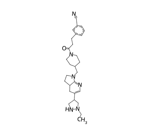 CCN1CC(C2=CN=C3C(CCN3CC3CCN(C(=O)CCc4cccc(C#N)c4)CC3)C2)CN1